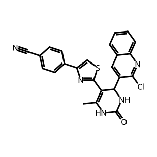 CC1=C(c2nc(-c3ccc(C#N)cc3)cs2)C(c2cc3ccccc3nc2Cl)NC(=O)N1